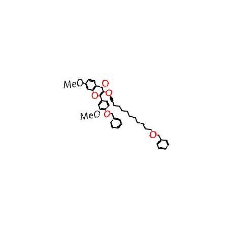 COc1ccc2c(=O)c(OC#CCCCCCCCCCCOCc3ccccc3)c(-c3ccc(OCc4ccccc4)c(OC)c3)oc2c1